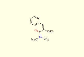 CON(C)C(=O)C([C]=O)=Cc1ccccc1